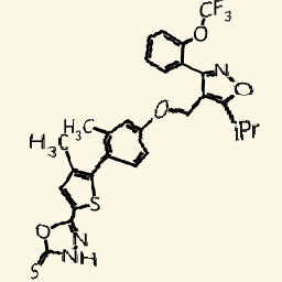 Cc1cc(OCc2c(-c3ccccc3OC(F)(F)F)noc2C(C)C)ccc1-c1sc(-c2n[nH]c(=S)o2)cc1C